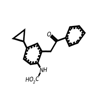 O=C(O)Nc1ccc(C2CC2)cc1CC(=O)c1ccccc1